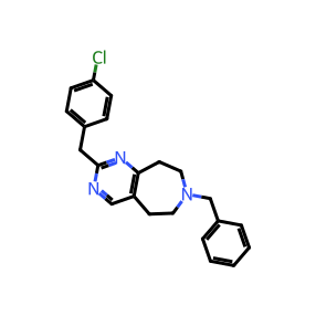 Clc1ccc(Cc2ncc3c(n2)CCN(Cc2ccccc2)CC3)cc1